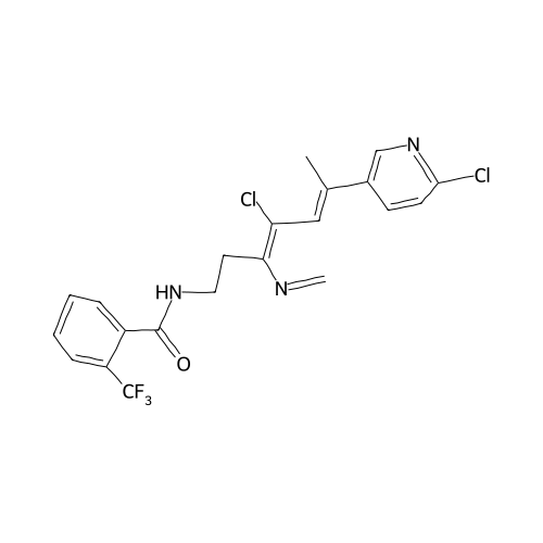 C=N/C(CCNC(=O)c1ccccc1C(F)(F)F)=C(Cl)\C=C(/C)c1ccc(Cl)nc1